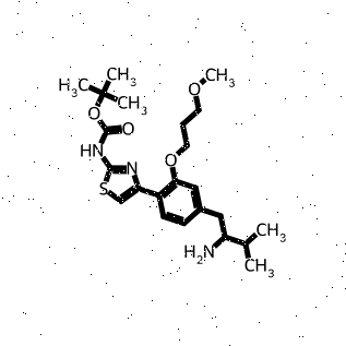 COCCCOc1cc(CC(N)C(C)C)ccc1-c1csc(NC(=O)OC(C)(C)C)n1